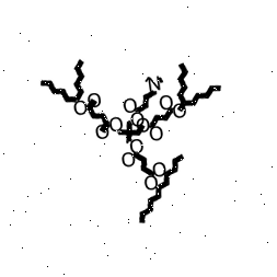 CCCCCC(CCCCC)OC(=O)CCC(=O)OCC(COC(=O)CCCN(C)C)(COC(=O)CCC(=O)OC(CCCCC)CCCCC)COC(=O)CCC(=O)OC(CCCCC)CCCCC